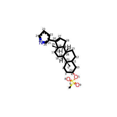 C[C@]12CC[C@H](OS(C)(=O)=O)CC1CC[C@@H]1[C@@H]2CC[C@]2(C)C(c3cccnc3)=CC[C@@H]12